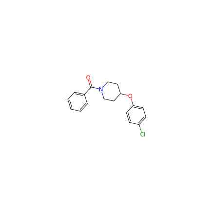 O=C(c1c[c]ccc1)N1CCC(Oc2ccc(Cl)cc2)CC1